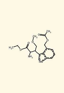 CCOC(=O)C(N)C(COC)c1c[nH]c2cccc(COC(C)=O)c12